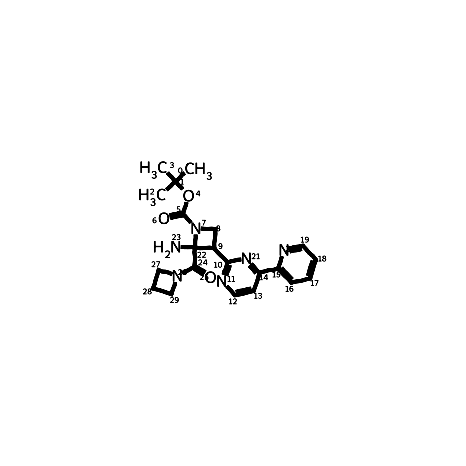 CC(C)(C)OC(=O)N1CC(c2nccc(-c3ccccn3)n2)C1(N)C(=O)N1CCC1